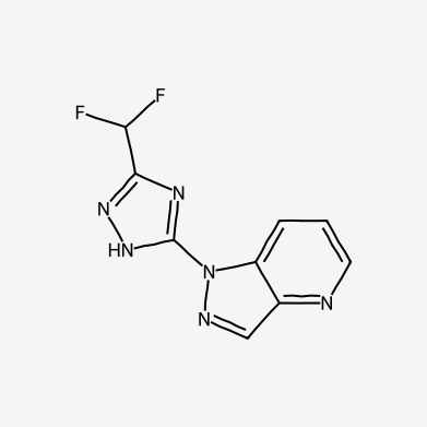 FC(F)c1n[nH]c(-n2ncc3ncccc32)n1